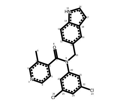 Cc1cnccc1C(=O)N(Cc1ccc2[nH]ccc2c1)c1cc(Cl)cc(Cl)c1